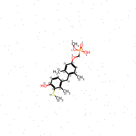 COP(=O)(O)COc1cc(C)c(Cc2ccc(O)c(SC)c2C)c(C)c1